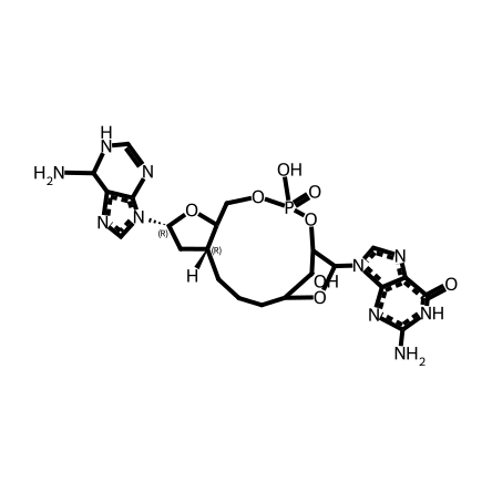 Nc1nc2c(ncn2C2OC3CCC[C@@H]4C[C@H](n5cnc6c5N=CNC6N)OC4COP(=O)(O)OC2C3O)c(=O)[nH]1